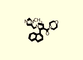 Cn1cncc1Cn1ccc(C(=O)N2CCOCC2)c1-c1cccc2ccccc12